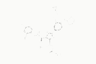 CC(OC(N)=O)c1oc(-c2ccc(OC3CCOC3)c(OCC3CC3)c2)nc1C(=O)NCc1ccc(F)cc1F